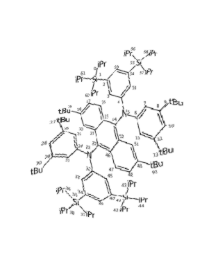 CC(C)[Si](c1cc(N(c2cc(C(C)(C)C)cc(C(C)(C)C)c2)c2c3ccc(C(C)(C)C)cc3c(N(c3cc(C(C)(C)C)cc(C(C)(C)C)c3)c3cc([Si](C(C)C)(C(C)C)C(C)C)cc([Si](C(C)C)(C(C)C)C(C)C)c3)c3ccc(C(C)(C)C)cc23)cc([Si](C(C)C)(C(C)C)C(C)C)c1)(C(C)C)C(C)C